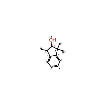 CC1c2ccccc2C(C)(C)C1O